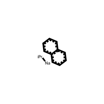 C[CH](C)[Na].c1ccc2ccccc2c1